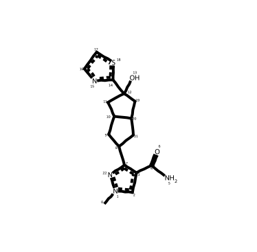 Cn1cc(C(N)=O)c(C2CC3CC(O)(c4nccs4)CC3C2)n1